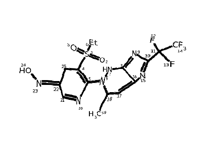 CCS(=O)(=O)C1=C(N2NC3=NC(C(F)(F)C(F)(F)F)=NC3=CC2C)N=CC(=NO)C1